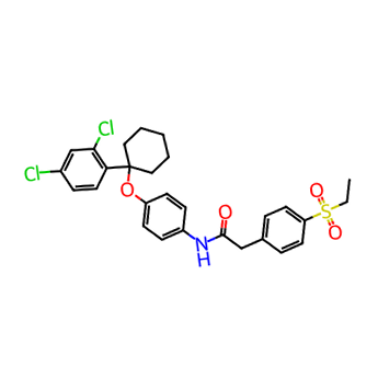 CCS(=O)(=O)c1ccc(CC(=O)Nc2ccc(OC3(c4ccc(Cl)cc4Cl)CCCCC3)cc2)cc1